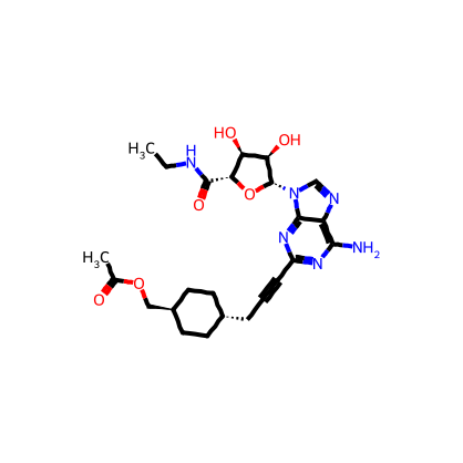 CCNC(=O)[C@H]1O[C@@H](n2cnc3c(N)nc(C#CC[C@H]4CC[C@H](COC(C)=O)CC4)nc32)[C@H](O)[C@@H]1O